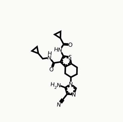 N#Cc1ncn(C2CCc3sc(NC(=O)C4CC4)c(C(=O)NCC4CC4)c3C2)c1N